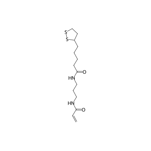 C=CC(=O)NCCCNC(=O)CCCCC1CCSS1